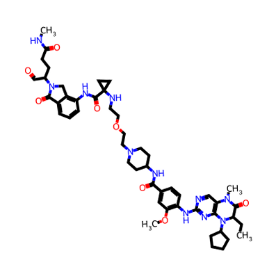 CCC1C(=O)N(C)c2cnc(Nc3ccc(C(=O)NC4CCN(CCOCCNC5(C(=O)Nc6cccc7c6CN(C(C=O)CCC(=O)NC)C7=O)CC5)CC4)cc3OC)nc2N1C1CCCC1